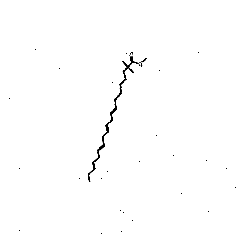 CCCCCC=CCC=CCC=CCCCCCC(C)(C)C(=O)OC